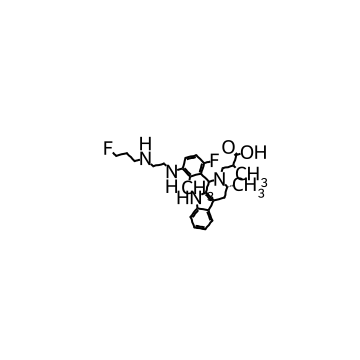 Cc1c(NCCNCCCF)ccc(F)c1C1c2[nH]c3ccccc3c2C[C@@H](C)N1CC(C)C(=O)O